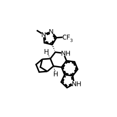 Cn1cc([C@@H]2Nc3ccc4[nH]ccc4c3[C@H]3C4CCC(C4)[C@@H]23)c(C(F)(F)F)n1